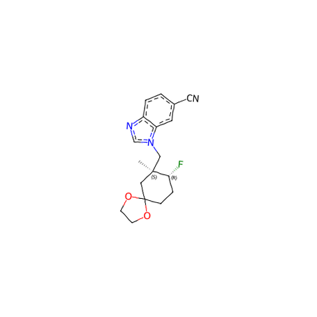 C[C@@]1(Cn2cnc3ccc(C#N)cc32)CC2(CC[C@H]1F)OCCO2